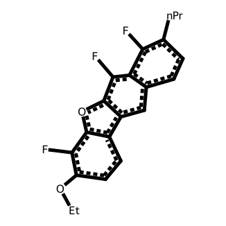 CCCc1ccc2cc3c(oc4c(F)c(OCC)ccc43)c(F)c2c1F